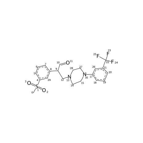 CS(=O)(=O)c1cccc(C(C=O)CN2CCN(c3cccc(C(F)(F)F)c3)CC2)c1